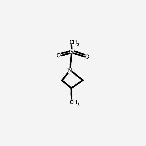 CC1CN(S(C)(=O)=O)C1